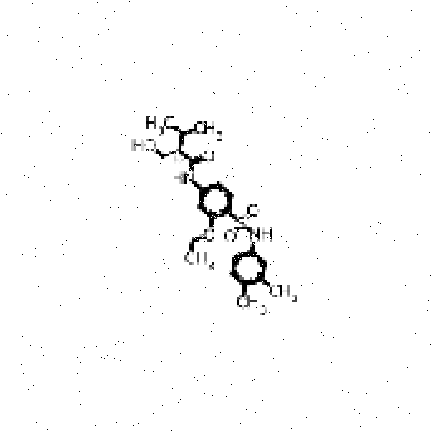 CCOc1cc(NC(=O)[C@@H](CO)C(C)C)ccc1S(=O)(=O)Nc1ccc(C)c(C)c1